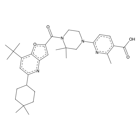 Cc1nc(N2CCN(C(=O)c3cc4nc(C5CCC(C)(C)CC5)cc(C(C)(C)C)c4o3)C(C)(C)C2)ccc1C(=O)O